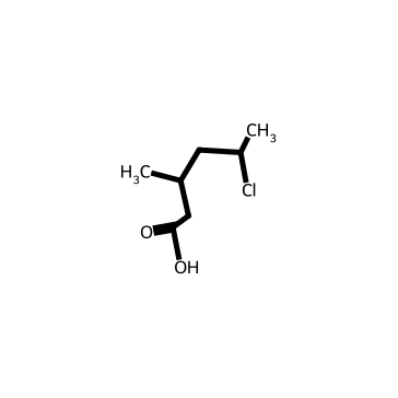 CC(Cl)CC(C)CC(=O)O